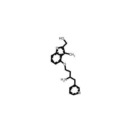 Cc1c(CO)oc2cccc(OCCC(N)Cc3cccnc3)c12